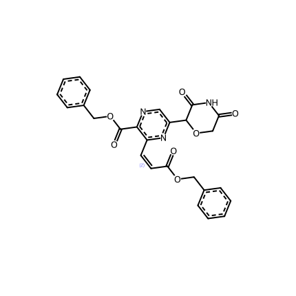 O=C1COC(c2cnc(C(=O)OCc3ccccc3)c(/C=C\C(=O)OCc3ccccc3)n2)C(=O)N1